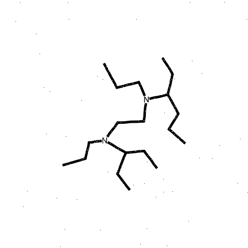 CCCC(CC)N(CCC)CCN(CCC)C(CC)CC